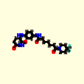 O=C1CCC(Nc2ccc(NC(=O)CCCCCC(=O)N3CCC(F)(F)CC3)cc2)C(=O)N1